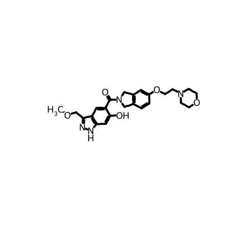 COCc1n[nH]c2cc(O)c(C(=O)N3Cc4ccc(OCCN5CCOCC5)cc4C3)cc12